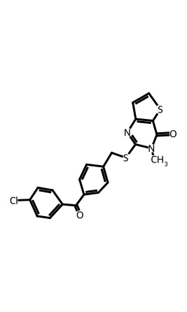 Cn1c(SCc2ccc(C(=O)c3ccc(Cl)cc3)cc2)nc2ccsc2c1=O